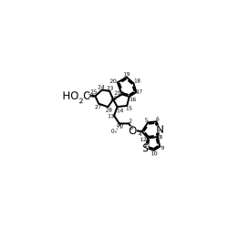 C[C@@H](COc1ccnc2ccsc12)CC1Cc2ccccc2C12CCC(C(=O)O)CC2